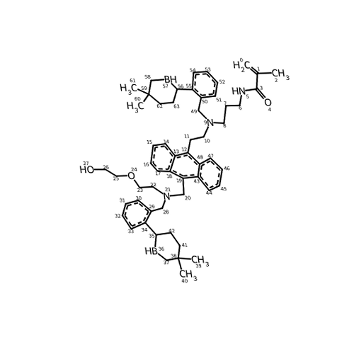 C=C(C)C(=O)NCCCN(CCc1c2ccccc2c(CN(CCOCCO)Cc2ccccc2C2BCC(C)(C)CC2)c2ccccc12)Cc1ccccc1C1BCC(C)(C)CC1